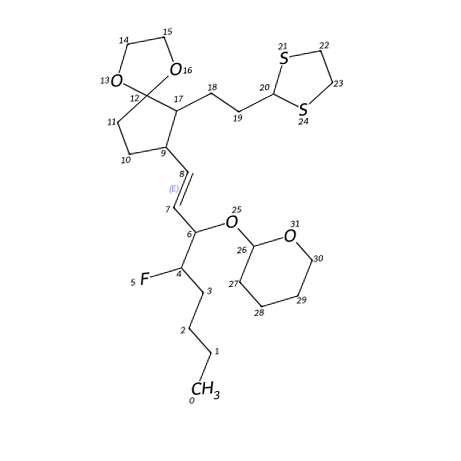 CCCCC(F)C(/C=C/C1CCC2(OCCO2)C1CCC1SCCS1)OC1CCCCO1